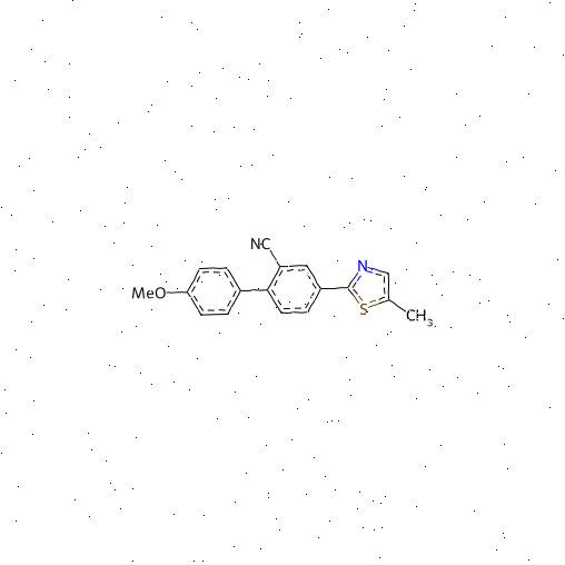 COc1ccc(-c2ccc(-c3ncc(C)s3)cc2C#N)cc1